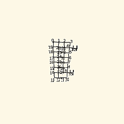 C1C2C3C[C@@H]4C5C6C7C8[C@@H]9CC%10C%11CC%12C%13C%14C%15C%16C1C21C34C52C%161C%151C%143C%134C%11%12C%109C84C73C621